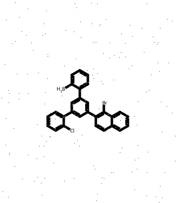 Bc1ccccc1-c1cc(-c2ccccc2Cl)cc(-c2ccc3ccccc3c2Br)c1